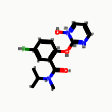 CC(C)N(C)C(=O)c1cc(F)ccc1Oc1nccc[n+]1[O-]